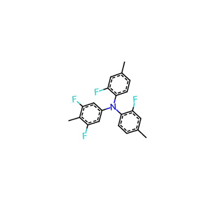 Cc1ccc(N(c2cc(F)c(C)c(F)c2)c2ccc(C)cc2F)c(F)c1